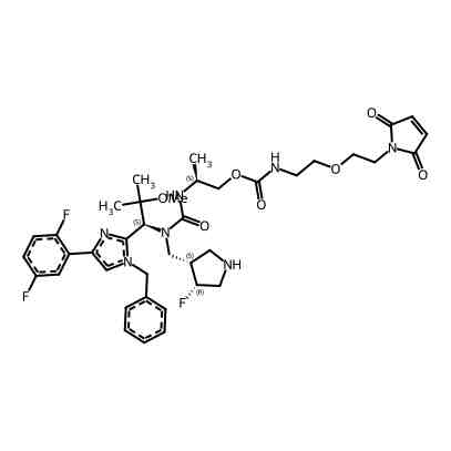 COC(C)(C)[C@H](c1nc(-c2cc(F)ccc2F)cn1Cc1ccccc1)N(C[C@@H]1CNC[C@@H]1F)C(=O)N[C@@H](C)COC(=O)NCCOCCN1C(=O)C=CC1=O